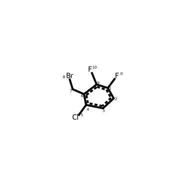 Fc1ccc(Cl)c(CBr)c1F